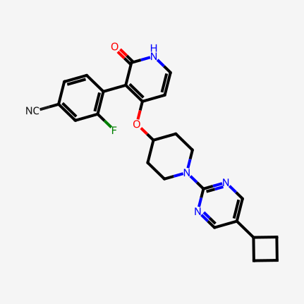 N#Cc1ccc(-c2c(OC3CCN(c4ncc(C5CCC5)cn4)CC3)cc[nH]c2=O)c(F)c1